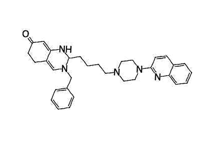 O=C1C=C2NC(CCCCN3CCN(c4ccc5ccccc5n4)CC3)N(Cc3ccccc3)C=C2CC1